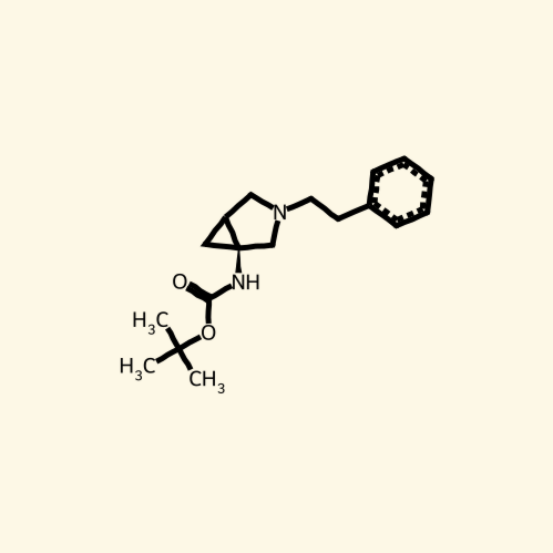 CC(C)(C)OC(=O)N[C@@]12CC1CN(CCc1ccccc1)C2